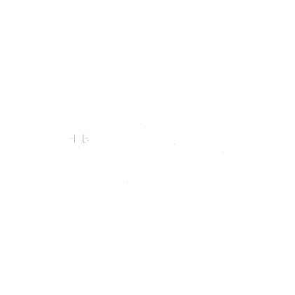 BC1=CCC(CC)S1